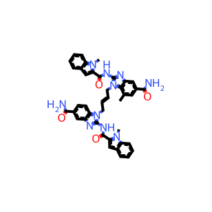 Cc1cc(C(N)=O)cc2nc(NC(=O)c3cc4ccccc4n3C)n(CC=CCn3c(NC(=O)c4cc5ccccc5n4C)nc4cc(C(N)=O)ccc43)c12